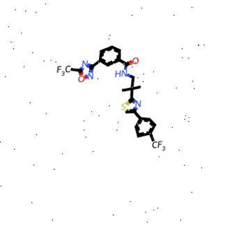 CC(C)(CNC(=O)c1cccc(-c2noc(C(F)(F)F)n2)c1)c1nc(-c2ccc(C(F)(F)F)cc2)cs1